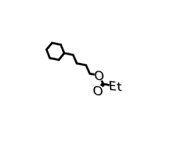 [CH2]CC(=O)OCCCCC1CCCCC1